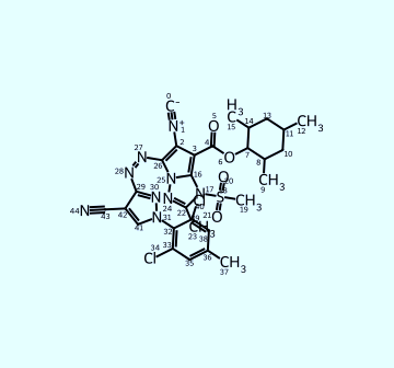 [C-]#[N+]c1c(C(=O)OC2C(C)CC(C)CC2C)c2n(S(C)(=O)=O)c(C)nn2c1/N=N\c1nn(-c2c(Cl)cc(C)cc2Cl)cc1C#N